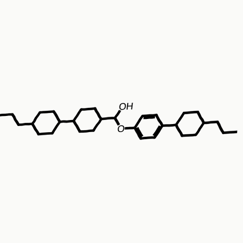 CCCC1CCC(c2ccc(OC(O)C3CCC(C4CCC(CCC)CC4)CC3)cc2)CC1